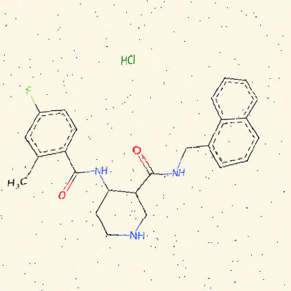 Cc1cc(F)ccc1C(=O)NC1CCNCC1C(=O)NCc1cccc2ccccc12.Cl